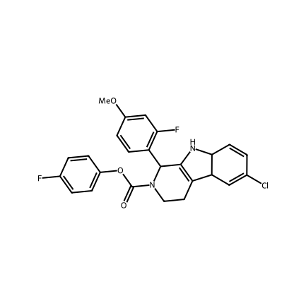 COc1ccc(C2C3=C(CCN2C(=O)Oc2ccc(F)cc2)C2C=C(Cl)C=CC2N3)c(F)c1